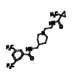 CC1(C(=O)NCCN2CCC(CNC(=O)c3cc(C(F)(F)F)cc(C(F)(F)F)c3)CC2)CC1